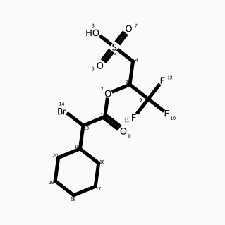 O=C(OC(CS(=O)(=O)O)C(F)(F)F)C(Br)C1CCCCC1